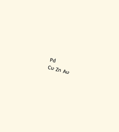 [Au].[Cu].[Pd].[Zn]